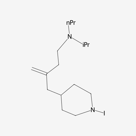 C=C(CCN(CCC)C(C)C)CC1CCN(I)CC1